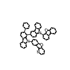 c1ccc(-c2ccc3c4ccccc4n(-c4ccc5oc6cccnc6c5c4)c3c2-c2ccc3c(c2)c2ccccc2n3-c2cccc3c2oc2ccccc23)cc1